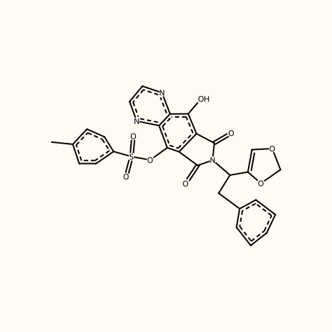 Cc1ccc(S(=O)(=O)Oc2c3c(c(O)c4nccnc24)C(=O)N(C(Cc2ccccc2)C2=COCO2)C3=O)cc1